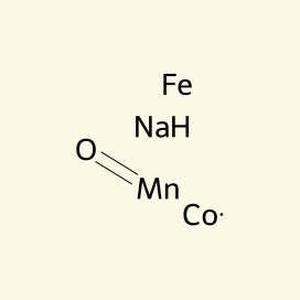 [Co].[Fe].[NaH].[O]=[Mn]